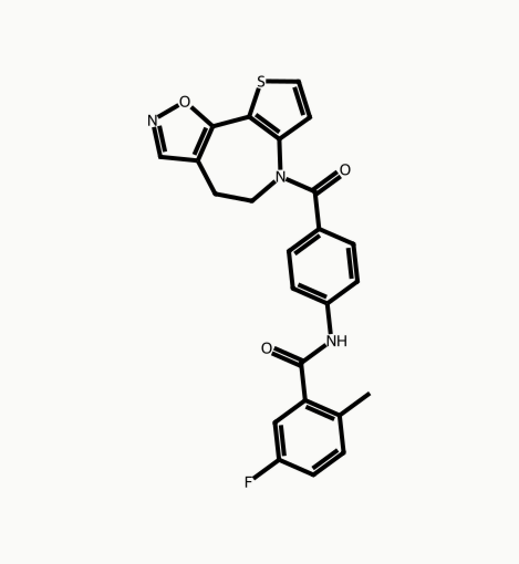 Cc1ccc(F)cc1C(=O)Nc1ccc(C(=O)N2CCc3cnoc3-c3sccc32)cc1